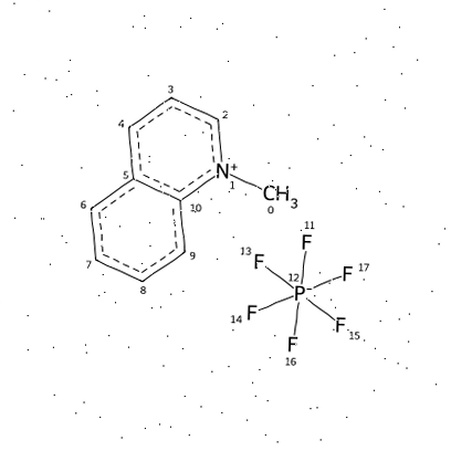 C[n+]1cccc2ccccc21.F[P-](F)(F)(F)(F)F